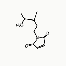 CC(O)C(C)CCN1C(=O)C=CC1=O